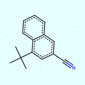 CC(C)(C)c1cc(C#N)cc2ccccc12